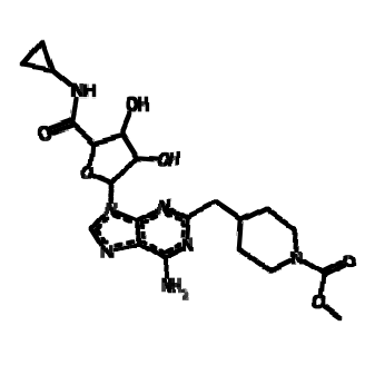 COC(=O)N1CCC(Cc2nc(N)c3ncn(C4OC(C(=O)NC5CC5)C(O)C4O)c3n2)CC1